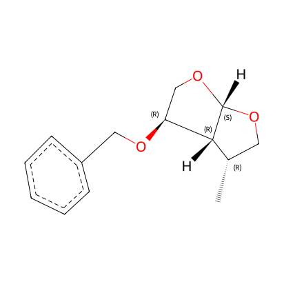 C[C@H]1CO[C@H]2OC[C@H](OCc3ccccc3)[C@H]21